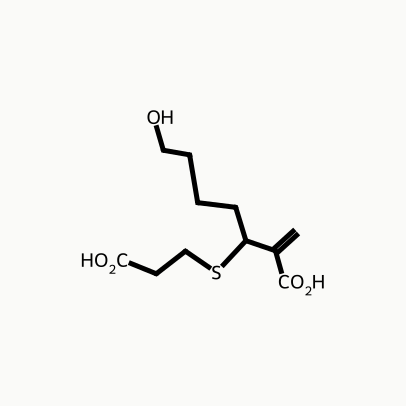 C=C(C(=O)O)C(CCCCO)SCCC(=O)O